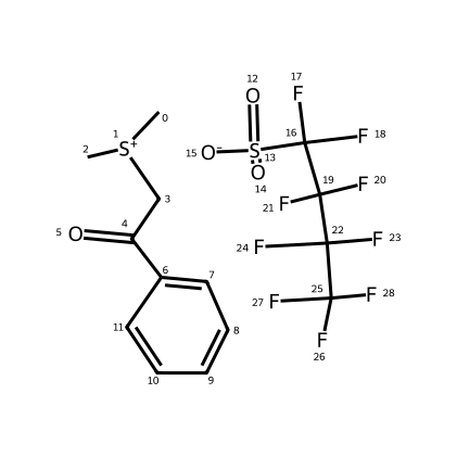 C[S+](C)CC(=O)c1ccccc1.O=S(=O)([O-])C(F)(F)C(F)(F)C(F)(F)C(F)(F)F